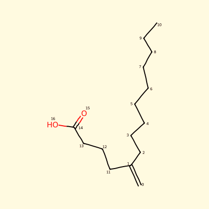 C=C(CCCCCCCCC)CCCC(=O)O